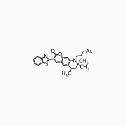 CC(=O)CCCN1c2cc3oc(=O)c(-c4nc5ccccc5s4)cc3cc2C(C)CC1(C)C